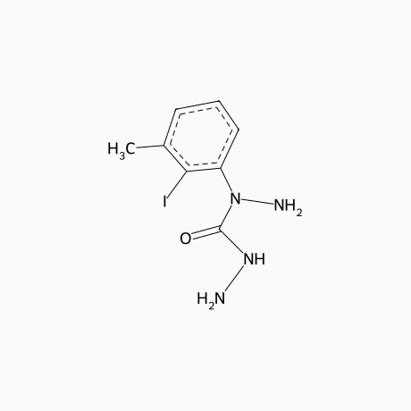 Cc1cccc(N(N)C(=O)NN)c1I